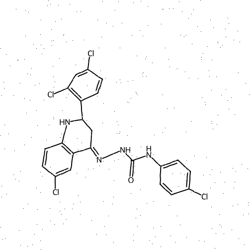 O=C(NN=C1CC(c2ccc(Cl)cc2Cl)Nc2ccc(Cl)cc21)Nc1ccc(Cl)cc1